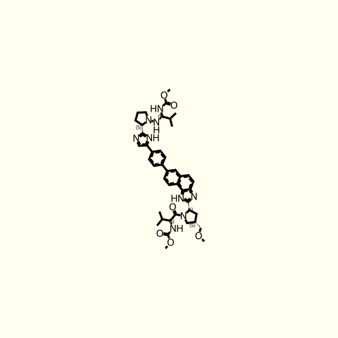 COC[C@H]1C[C@@H](c2nc3ccc4cc(-c5ccc(-c6cnc([C@@H]7CCCN7N[C@@H](NC(=O)OC)C(C)C)[nH]6)cc5)ccc4c3[nH]2)N(C(=O)[C@@H](NC(=O)OC)C(C)C)C1